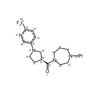 CC(C)N1CCCN(C(=O)[C@H]2CCN(c3ccc(C(F)(F)F)nc3)C2)CC1